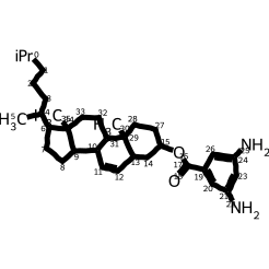 CC(C)CCCC(C)C1CCC2C3C=CC4CC(OC(=O)c5cc(N)cc(N)c5)CCC4(C)C3CCC12C